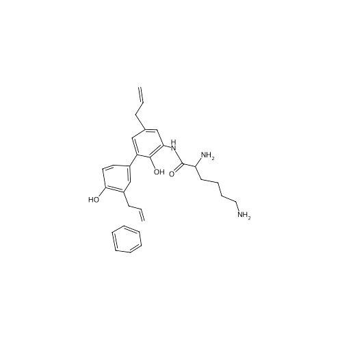 C=CCc1cc(NC(=O)C(N)CCCCN)c(O)c(-c2ccc(O)c(CC=C)c2)c1.c1ccccc1